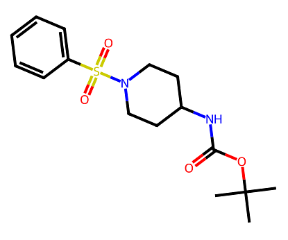 CC(C)(C)OC(=O)NC1CCN(S(=O)(=O)c2ccccc2)CC1